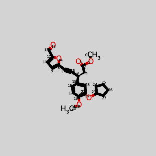 COC(=O)C[C@H](C#Cc1ccc(C=O)o1)c1ccc(OC)c(OC2CCCC2)c1